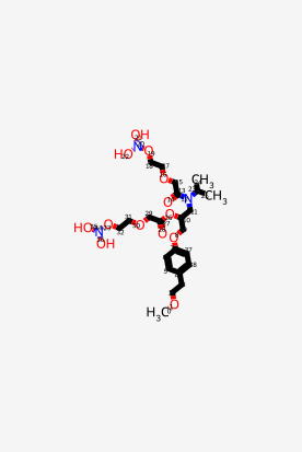 COCCc1ccc(OCC(CN(C(=O)COCCON(O)O)C(C)C)OC(=O)COCCON(O)O)cc1